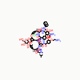 CN[C@H](CC(C)C)C(=O)N[C@H]1C(=O)N[C@@H](CC(=O)NC(=O)c2ccc(OCCN)c(OCCN)c2)C(=O)N[C@H]2C(=O)N[C@H]3C(=O)N[C@H](C(=O)N[C@H](C(=O)NC4C5CC6CC(C5)CC4C6)c4cc(O)cc(O)c4-c4cc3ccc4O)[C@H](O)c3ccc(c(Cl)c3)Oc3cc2cc(c3O[C@@H]2O[C@H](CO)[C@@H](O)[C@H](O)[C@H]2O)Oc2ccc(cc2C)[C@H]1O